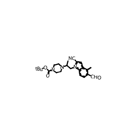 Cc1c(C=O)ccc2c1cc(C#N)n2CC(C)N1CCN(C(=O)OC(C)(C)C)CC1